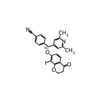 Cc1cc([C@H](Oc2ccc3c(c2I)OCCC3=O)c2ccc(C#N)cc2)cc(C)n1